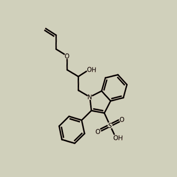 C=CCOCC(O)Cn1c(-c2ccccc2)c(S(=O)(=O)O)c2ccccc21